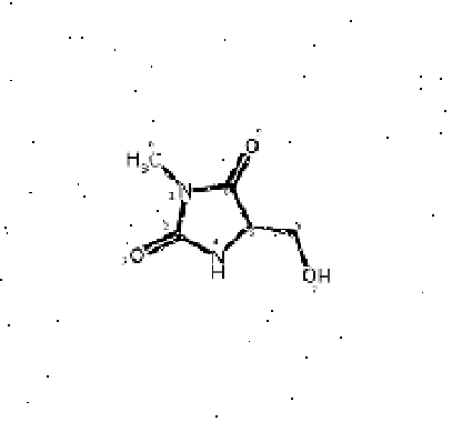 CN1C(=O)N[C@H](CO)C1=O